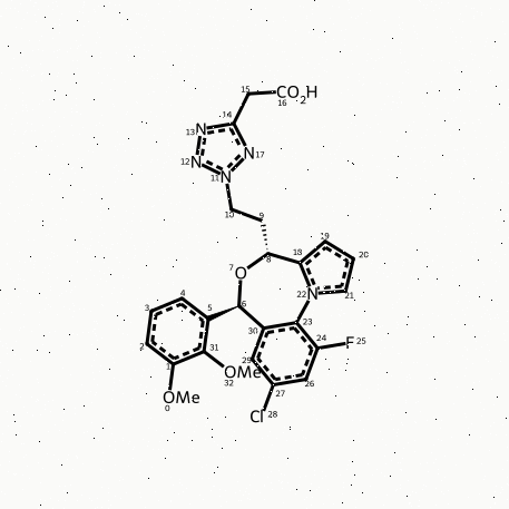 COc1cccc([C@H]2O[C@H](CCn3nnc(CC(=O)O)n3)c3cccn3-c3c(F)cc(Cl)cc32)c1OC